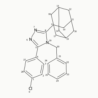 Clc1ccc(-c2nnc(C34CC5CC(CC(C5)C3)C4)n2Cc2ccccc2)cc1